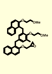 COCCOc1ccc2ccccc2c1Cc1cc(Cc2c(OCC3CO3)ccc3ccccc23)cc(C)c1OCCOC